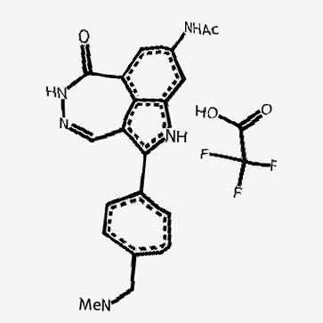 CNCc1ccc(-c2[nH]c3cc(NC(C)=O)cc4c3c2C=NNC4=O)cc1.O=C(O)C(F)(F)F